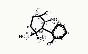 CC[C@@]1(c2ccccc2Cl)[C@H]([N+](=O)[O-])[C@](C)(O)CC[C@@]1(C(C)=O)C(=O)O